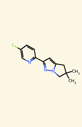 CC1(C)Cc2cc(-c3ccc(F)cn3)nn2C1